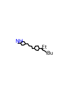 CC/C(=C\CC(C)CC)C1CCC(CCCCC2CCC(C=N)CC2)CC1